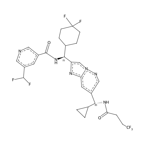 O=C(CCC(F)(F)F)N[C@@H](c1cnn2cc([C@@H](NC(=O)c3cncc(C(F)F)c3)C3CCC(F)(F)CC3)nc2c1)C1CC1